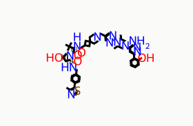 Cc1ncsc1-c1ccc(CNC(=O)[C@@H]2C[C@@H](O)CN2C(=O)[C@@H](NC(=O)C2CC3(CCN(Cc4cnc(N5C(C)CN(c6cc(-c7ccccc7O)nnc6N)CC5C)nc4)CC3)C2)C(C)(C)C)cc1